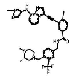 Cc1ccc(C(=O)NCc2ccc(CN3CCN(C)[C@@H](C)C3)c(C(F)(F)F)c2)cc1C#Cc1cnc2c(Nc3cnn(C)c3)cccn12